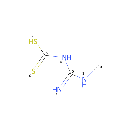 CNC(=N)NC(=S)S